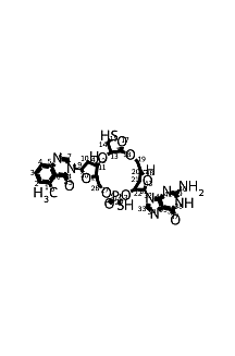 Cc1cccc2ncn([C@H]3C[C@@H]4OC(CS)C(=O)OC[C@@H]5CC(OP(=O)(S)OCC4O3)[C@H](n3cnc4c(=O)[nH]c(N)nc43)O5)c(=O)c12